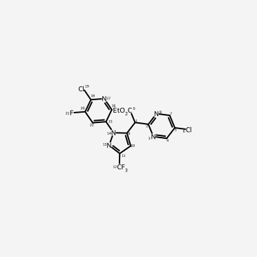 CCOC(=O)C(c1ncc(Cl)cn1)c1cc(C(F)(F)F)nn1-c1cnc(Cl)c(F)c1